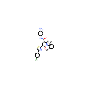 CCc1cccc(CC)c1-n1c(C)c(C(=O)NC2CCC(N)CC2)cc(-c2nc(-c3ccc(Cl)cc3)cs2)c1=O